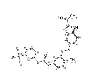 CC(=O)c1cc2cc(CCc3cc(NC(=O)Cc4cccc(C(F)(F)F)c4)ccc3C)cnc2[nH]1